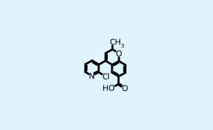 CC1C=C(c2cccnc2Cl)c2cc(C(=O)O)ccc2O1